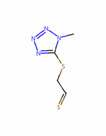 Cn1nnnc1SCC=S